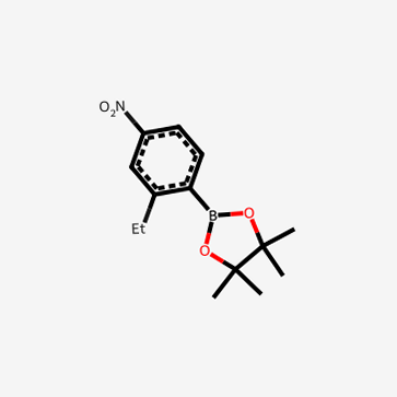 CCc1cc([N+](=O)[O-])ccc1B1OC(C)(C)C(C)(C)O1